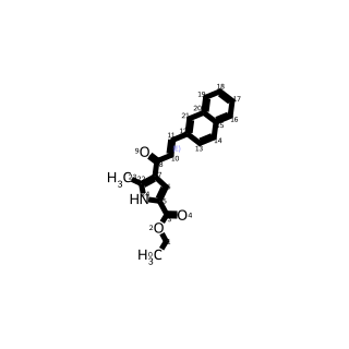 CCOC(=O)c1cc(C(=O)/C=C/c2ccc3ccccc3c2)c(C)[nH]1